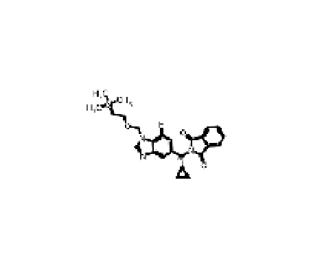 C[Si](C)(C)CCOCn1cnc2cc([C@@H](C3CC3)N3C(=O)c4ccccc4C3=O)cc(F)c21